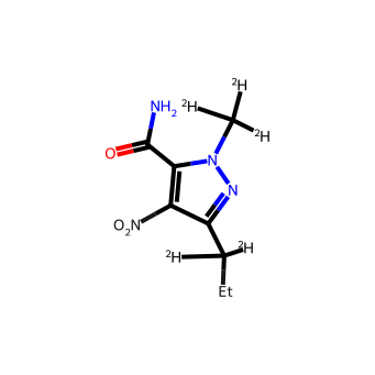 [2H]C([2H])(CC)c1nn(C([2H])([2H])[2H])c(C(N)=O)c1[N+](=O)[O-]